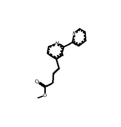 COC(=O)CCCc1ccnc(-c2ccccn2)c1